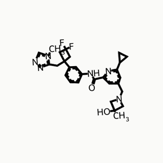 Cn1cnnc1CC1(c2cccc(NC(=O)c3cc(CN4CC(C)(O)C4)cc(C4CC4)n3)c2)CC(F)(F)C1